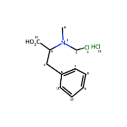 CN(CCl)C(Cc1ccccc1)C(=O)O.Cl